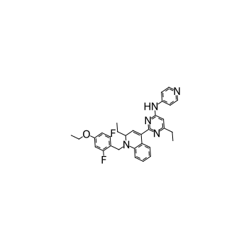 CCOc1cc(F)c(CN2c3ccccc3C(c3nc(CC)cc(Nc4ccncc4)n3)=CC2CC)c(F)c1